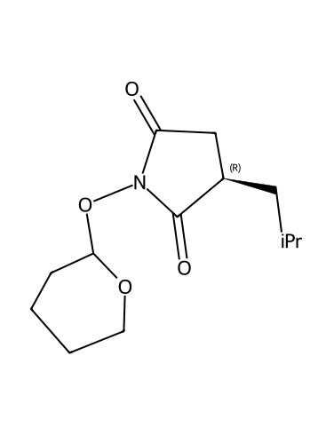 CC(C)C[C@@H]1CC(=O)N(OC2CCCCO2)C1=O